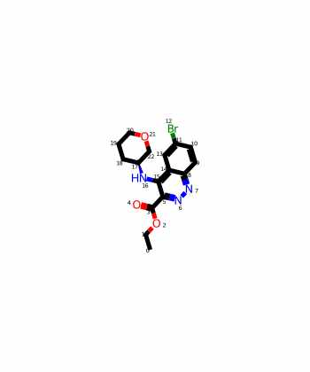 CCOC(=O)c1nnc2ccc(Br)cc2c1N[C@H]1CCCOC1